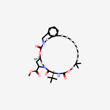 COC(=O)C1C[C@@H]2CN1C(=O)[C@H](C(C)(C)C)NC(=O)OCC(C)(C)CCCCCCCc1cccc3c1CN(C3)C(=O)O2